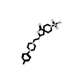 CCCS(=O)(=O)N1CCC2(CC1)C[C@@H](CCN1CCN(c3ccc(C)cc3)CC1)OC2=O